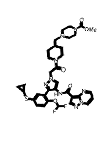 COC(=O)N1CCN(CC2CCN(C(=O)Cn3cc(NC(=O)c4cnn5cccnc45)c(-c4cc(SC5CC5)ccc4OC(F)F)n3)CC2)CC1